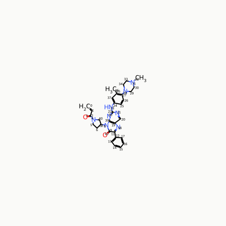 C=CC(=O)N1CC[C@H](n2c(=O)c(-c3ccccc3)nc3cnc(Nc4ccc(N5CCN(C)CC5)c(C)c4)nc32)C1